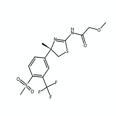 COCC(=O)NC1=N[C@@](C)(c2ccc(S(C)(=O)=O)c(C(F)(F)F)c2)CS1